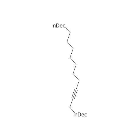 [CH2]CCCCCCCCCCC#CCCCCCCCCCCCCCCCC[CH2]